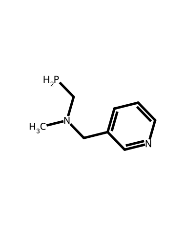 CN(CP)Cc1cccnc1